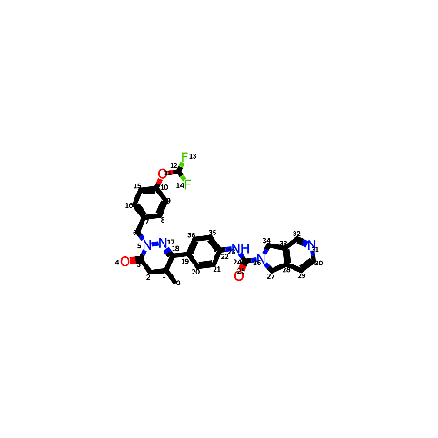 CC1CC(=O)N(Cc2ccc(OC(F)F)cc2)N=C1c1ccc(NC(=O)N2Cc3ccncc3C2)cc1